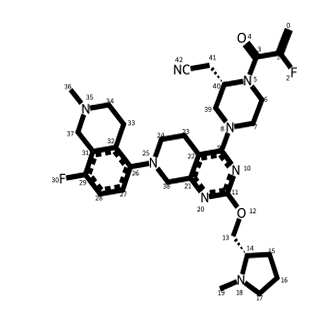 C=C(F)C(=O)N1CCN(c2nc(OC[C@@H]3CCCN3C)nc3c2CCN(c2ccc(F)c4c2CCN(C)C4)C3)C[C@@H]1CC#N